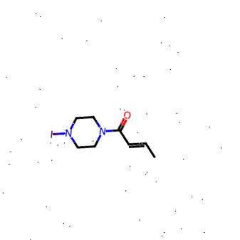 C/C=C/C(=O)N1CCN(I)CC1